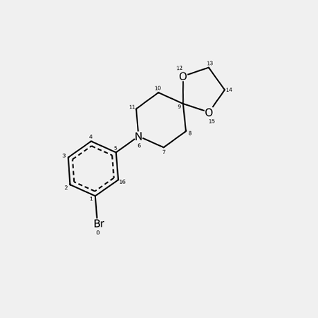 Brc1cccc(N2CCC3(CC2)OCCO3)c1